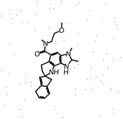 COCCN(C)C(=O)c1cc2c(c3c1CCC1(C=C4CC=CC=C4C1)N3)NC(C)N2C